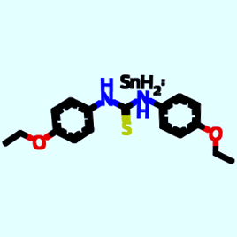 CCOc1ccc(NC(=S)Nc2ccc(OCC)cc2)cc1.[SnH2]